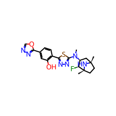 CN(c1nnc(-c2ccc(-c3nnco3)cc2O)s1)[C@H]1C[C@]2(C)CC[C@@](C)(N2)[C@H]1F